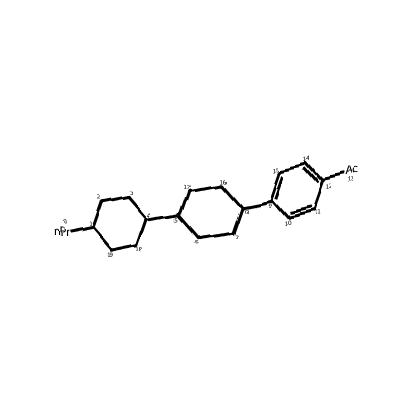 CCCC1CCC(C2CCC(c3ccc(C(C)=O)cc3)CC2)CC1